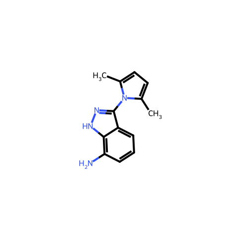 Cc1ccc(C)n1-c1n[nH]c2c(N)cccc12